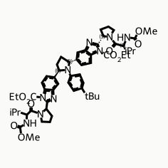 CCOC(=O)n1c(C2CCCN2C(=O)C(NC(=O)OC)C(C)C)nc2cc([C@H]3CC[C@H](c4ccc5c(c4)nc([C@@H]4CCCN4C(=O)[C@@H](NC(=O)OC)C(C)C)n5C(=O)OCC)N3c3ccc(C(C)(C)C)cc3)ccc21